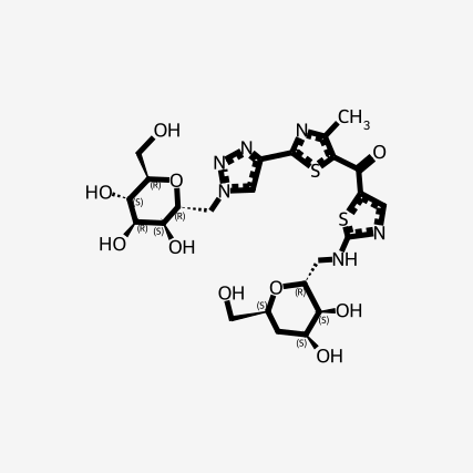 Cc1nc(-c2cn(C[C@H]3O[C@H](CO)[C@@H](O)[C@H](O)[C@@H]3O)nn2)sc1C(=O)c1cnc(NC[C@H]2O[C@H](CO)C[C@H](O)[C@@H]2O)s1